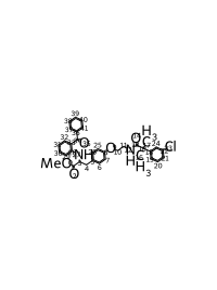 COC(=O)C(Cc1ccc(OCCNC(=O)C(C)(C)c2cccc(Cl)c2)cc1)Nc1ccccc1C(=O)c1ccccc1